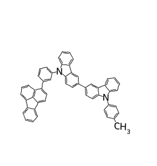 Cc1ccc(-n2c3ccccc3c3cc(-c4ccc5c(c4)c4ccccc4n5-c4cccc(-c5ccc6c7c(cccc57)-c5ccccc5-6)c4)ccc32)cc1